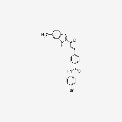 Cc1ccc2nc(C(=O)C=Cc3ccc(C(=O)Nc4ccc(Br)cc4)cc3)[nH]c2c1